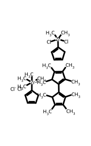 CC1=C(C)C(C)C(C2=C(C)C(C)=C(C)C2C)=C1C.[CH3][Zr+2]([CH3])([CH3])([CH3])[C]1=CC=CC1.[CH3][Zr]([CH3])([Cl])([Cl])[C]1=CC=CC1.[Cl-].[Cl-]